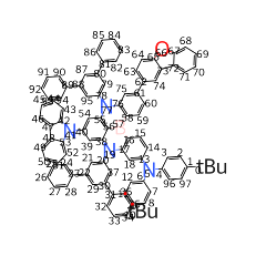 CC(C)(C)c1ccc(N(c2ccc(C(C)(C)C)cc2)c2ccc3c(c2)N(c2cc(-c4ccccc4)cc(-c4ccccc4)c2)c2cc(-n4c5ccccc5c5ccccc54)cc4c2B3c2ccc(-c3ccc5oc6ccccc6c5c3)cc2N4c2cc(-c3ccccc3)cc(-c3ccccc3)c2)cc1